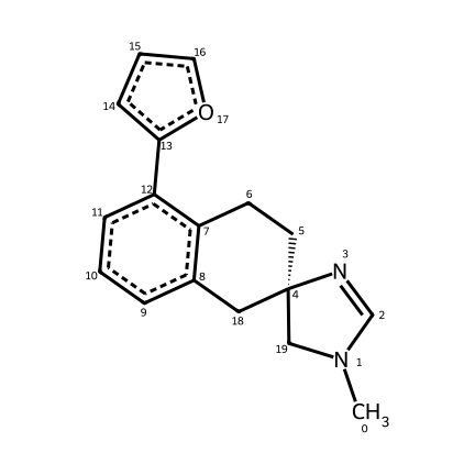 CN1C=N[C@@]2(CCc3c(cccc3-c3ccco3)C2)C1